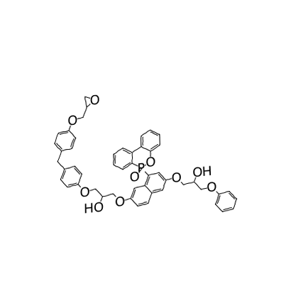 O=P1(c2cc(OCC(O)COc3ccccc3)cc3ccc(OCC(O)COc4ccc(Cc5ccc(OCC6CO6)cc5)cc4)cc23)Oc2ccccc2-c2ccccc21